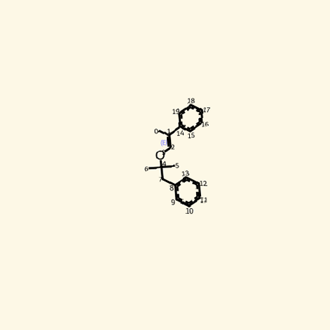 C/C(=C\OC(C)(C)Cc1ccccc1)c1ccccc1